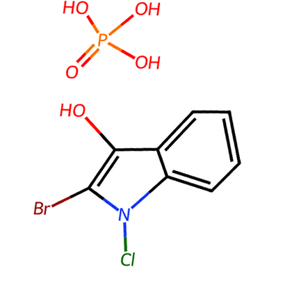 O=P(O)(O)O.Oc1c(Br)n(Cl)c2ccccc12